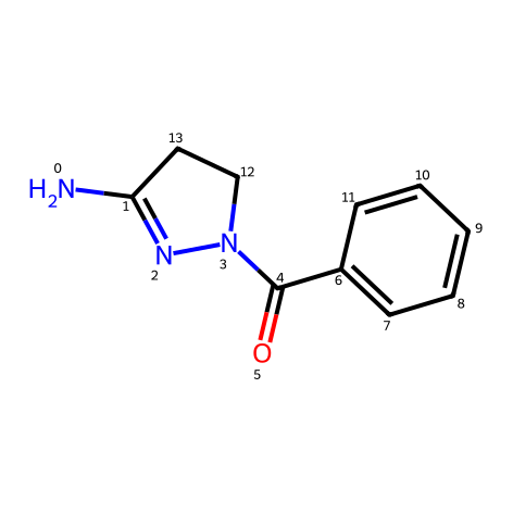 NC1=NN(C(=O)c2ccccc2)CC1